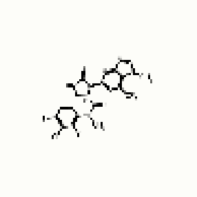 CN(C(=O)[C@@H]1CNC(=O)N1c1cc(C(F)(F)F)c2c(ncn2C)n1)c1ccc(F)c(Cl)c1F